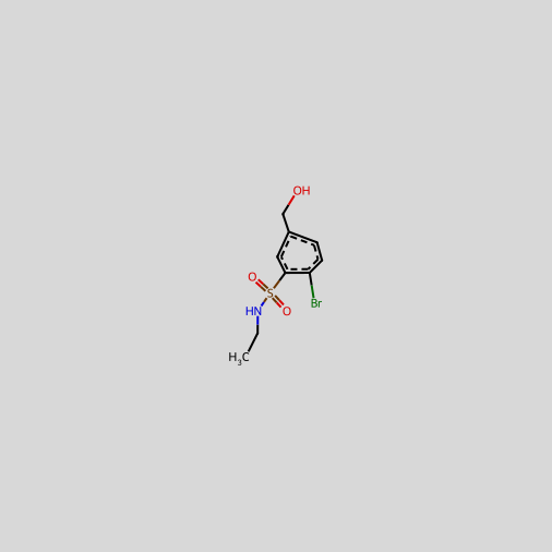 CCNS(=O)(=O)c1cc(CO)ccc1Br